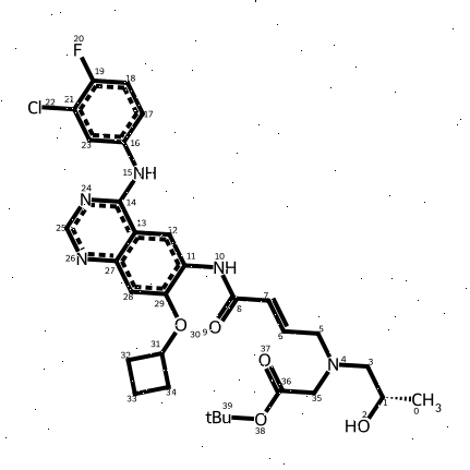 C[C@H](O)CN(C/C=C/C(=O)Nc1cc2c(Nc3ccc(F)c(Cl)c3)ncnc2cc1OC1CCC1)CC(=O)OC(C)(C)C